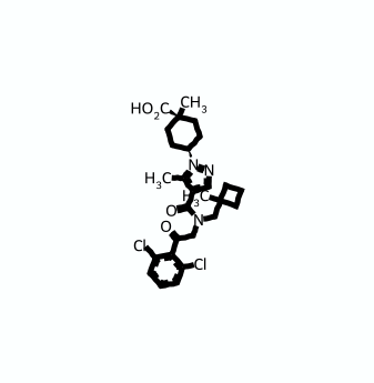 Cc1c(C(=O)N(CC(=O)c2c(Cl)cccc2Cl)CC2(C)CCC2)cnn1[C@H]1CC[C@](C)(C(=O)O)CC1